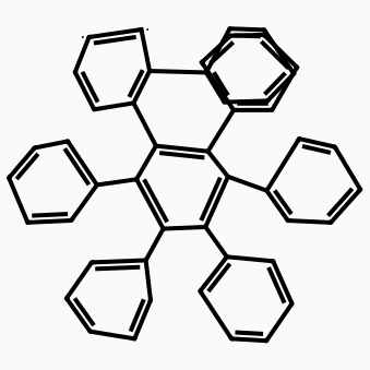 [c]1[c]c(-c2ccccc2)c(-c2c(-c3ccccc3)c(-c3ccccc3)c(-c3ccccc3)c(-c3ccccc3)c2-c2ccccc2)cc1